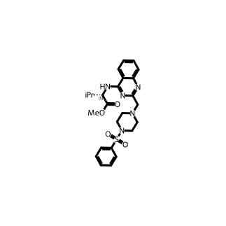 COC(=O)[C@@H](Nc1nc(CN2CCN(S(=O)(=O)c3ccccc3)CC2)nc2ccccc12)C(C)C